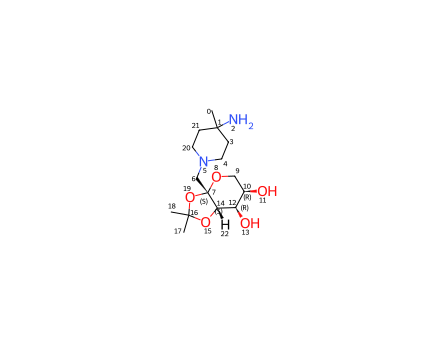 CC1(N)CCN(C[C@@]23OC[C@@H](O)[C@@H](O)[C@@H]2OC(C)(C)O3)CC1